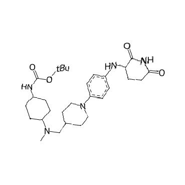 CN(CC1CCN(c2ccc(NC3CCC(=O)NC3=O)cc2)CC1)C1CCC(NC(=O)OC(C)(C)C)CC1